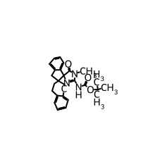 CN1C(=O)C2(N=C1NC(=O)OC(C)(C)C)c1ccccc1CC21CCc2ccccc2CC1